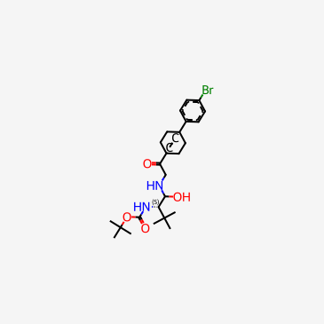 CC(C)(C)OC(=O)N[C@H](C(O)NCC(=O)C12CCC(c3ccc(Br)cc3)(CC1)CC2)C(C)(C)C